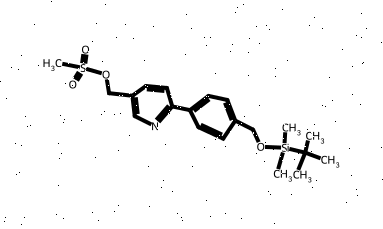 CC(C)(C)[Si](C)(C)OCc1ccc(-c2ccc(COS(C)(=O)=O)cn2)cc1